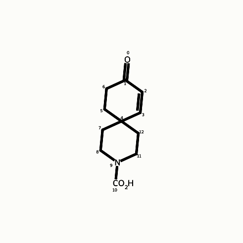 O=C1C=CC2(CC1)CCN(C(=O)O)CC2